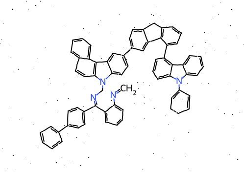 C=Nc1ccccc1/C(=N\Cn1c2ccc(-c3ccc4c(c3)-c3c(cccc3-c3cccc5c3c3ccccc3n5C3=CCCC=C3)C4)cc2c2c3ccccc3ccc21)c1ccc(-c2ccccc2)cc1